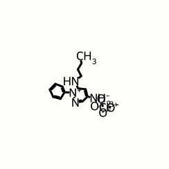 CCCCNc1cc(N)cn[n+]1-c1ccccc1.[O-][Cl+3]([O-])([O-])[O-]